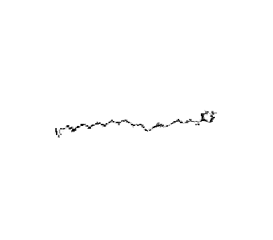 CCCCCCCCCCCCCCCCCCOc1cc[nH]c1